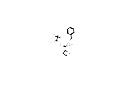 O=C(NOCc1ccccc1)[C@H]1CCN1.O=C(O)C(F)(F)F